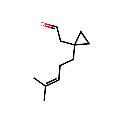 CC(C)=CCCC1(CC=O)CC1